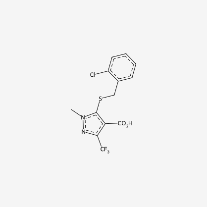 Cn1nc(C(F)(F)F)c(C(=O)O)c1SCc1ccccc1Cl